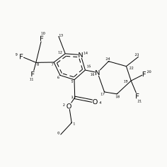 CCOC(=O)c1cc(C(F)(F)F)c(C)nc1N1CCC(F)(F)C(C)C1